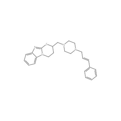 C(=Cc1ccccc1)CN1CCN(CC2CCn3c(nc4ccccc43)S2)CC1